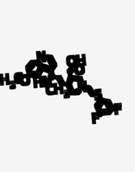 CN[C@H](CC[C@@H]1CCN(CCSc2cc(F)cc(F)c2)C[C@@H]1CC(=O)O)c1ccnc2ccc(OC)cc12